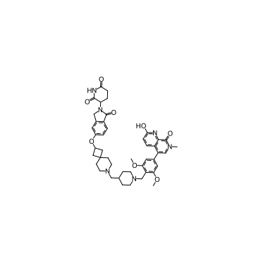 COc1cc(-c2cn(C)c(=O)c3nc(O)ccc23)cc(OC)c1CN1CCC(CN2CCC3(CC2)CC(Oc2ccc4c(c2)CN(C2CCC(=O)NC2=O)C4=O)C3)CC1